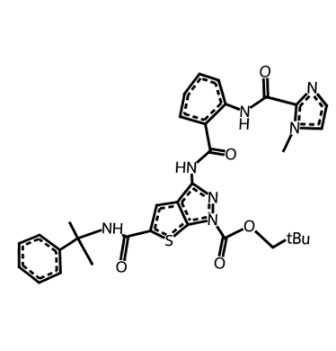 Cn1ccnc1C(=O)Nc1ccccc1C(=O)Nc1nn(C(=O)OCC(C)(C)C)c2sc(C(=O)NC(C)(C)c3ccccc3)cc12